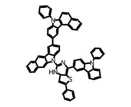 C1=C(c2ccccc2)SC2=C(c3ccc4c(c3)c3ccccc3n4-c3ccccc3)N=C(n3c4ccc(-c5ccc6c(c5)c5c7ccccc7ccc5n6-c5ccccc5)cc4c4cc5ccccc5cc43)NC12